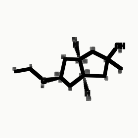 CCO[C@@H]1C[C@@H]2CC(C)(O)C[C@@H]2C1